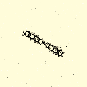 CC1(C)CC2C=CC1c1cc3c(cc12)SC1=C(S/C(=C2\SC4=C(S2)Sc2cc5c(cc2S4)C2C=CC5C(C)(C)C2)S1)S3